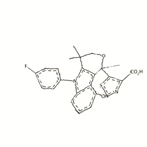 CC1(C)COC(C)(c2scnc2C(=O)O)c2c1n(-c1ccc(F)cc1)c1cccc(O)c21